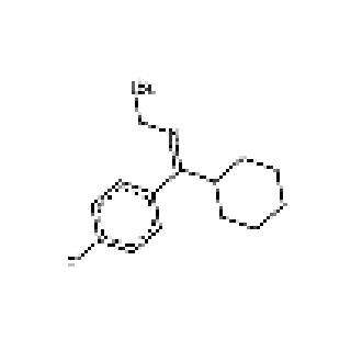 CC(C)(C)C/N=C(\c1ccc(F)cc1)C1CCCCC1